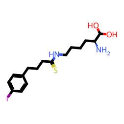 N[C@@H](CCCCNC(=S)CCCc1ccc(I)cc1)C(O)O